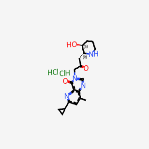 Cc1cc(C2CC2)nc2c(=O)n(CC(=O)C[C@H]3NCCC[C@@H]3O)cnc12.Cl.Cl